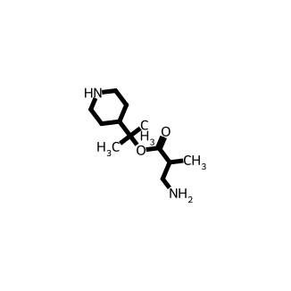 CC(CN)C(=O)OC(C)(C)C1CCNCC1